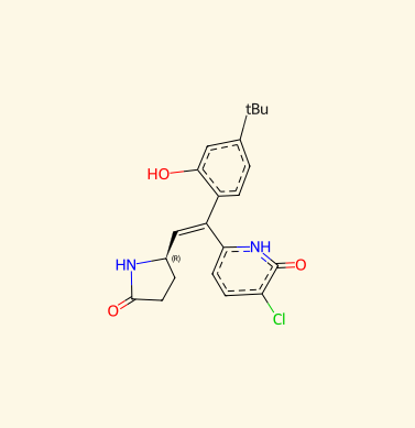 CC(C)(C)c1ccc(C(=C[C@H]2CCC(=O)N2)c2ccc(Cl)c(=O)[nH]2)c(O)c1